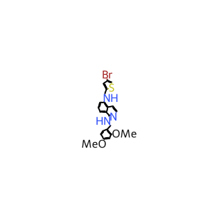 COc1ccc(CNc2nccc3c(NCc4cc(Br)cs4)cccc23)c(OC)c1